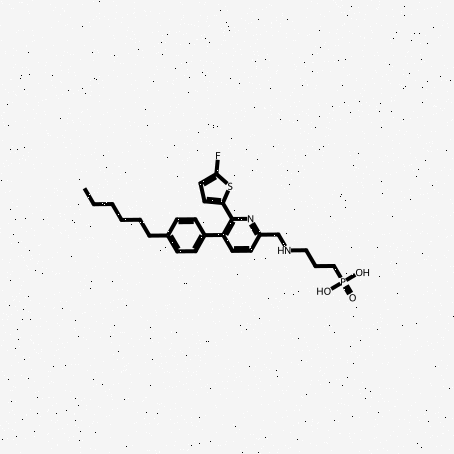 CCCCCCc1ccc(-c2ccc(CNCCCP(=O)(O)O)nc2-c2ccc(F)s2)cc1